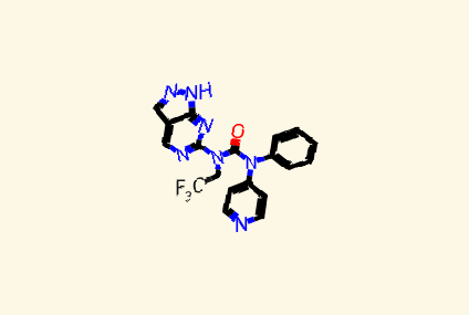 O=C(N(CC(F)(F)F)c1ncc2cn[nH]c2n1)N(c1ccccc1)c1ccncc1